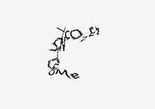 CCOC(=O)C(C)(C)c1csc(-c2ccc(OC)cc2)n1